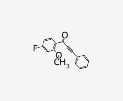 COc1cc(F)ccc1C(=O)C#Cc1ccccc1